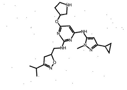 CC(C)C1=NOC(CNc2nc(Nc3cc(C4CC4)nn3C)cc(OC3CCNC3)n2)C1